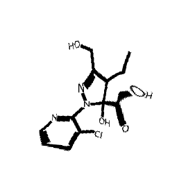 CCC1C(CO)=NN(c2ncccc2Cl)C1(O)C(=O)O